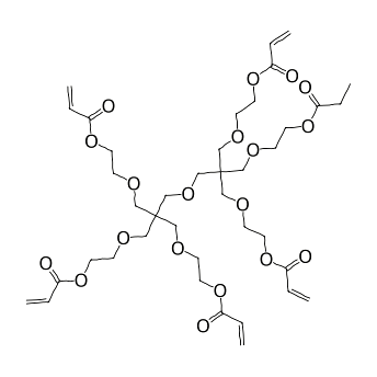 C=CC(=O)OCCOCC(COCCOC(=O)C=C)(COCCOC(=O)C=C)COCC(COCCOC(=O)C=C)(COCCOC(=O)C=C)COCCOC(=O)CC